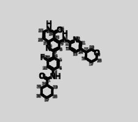 O=C(Nc1ccc(-c2cc(Nc3ccc(C4CCCOC4)cn3)c3c(=O)[nH]ccc3n2)c(F)c1)C1CCCCC1